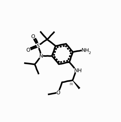 COC[C@H](C)Nc1cc2c(cc1N)C(C)(C)S(=O)(=O)N2C(C)C